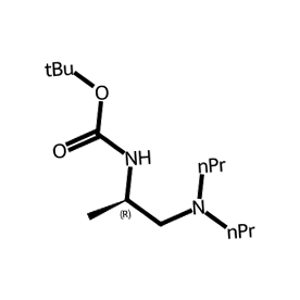 CCCN(CCC)C[C@@H](C)NC(=O)OC(C)(C)C